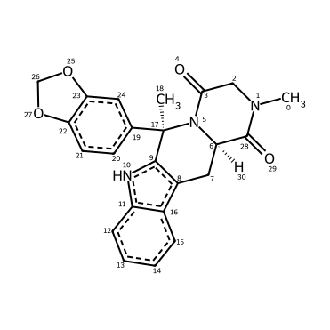 CN1CC(=O)N2[C@H](Cc3c([nH]c4ccccc34)[C@@]2(C)c2ccc3c(c2)OCO3)C1=O